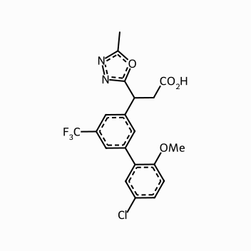 COc1ccc(Cl)cc1-c1cc(C(CC(=O)O)c2nnc(C)o2)cc(C(F)(F)F)c1